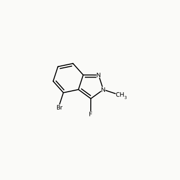 Cn1nc2cccc(Br)c2c1F